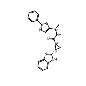 C[C@@H](NC(=O)[C@H]1C[C@@H]1c1nc2ccccc2[nH]1)c1cnc(-c2ccccc2)s1